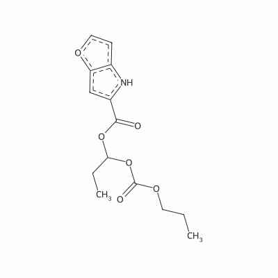 CCCOC(=O)OC(CC)OC(=O)c1cc2occc2[nH]1